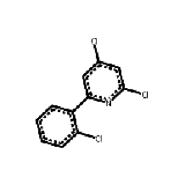 Clc1cc(Cl)nc(-c2ccccc2Cl)c1